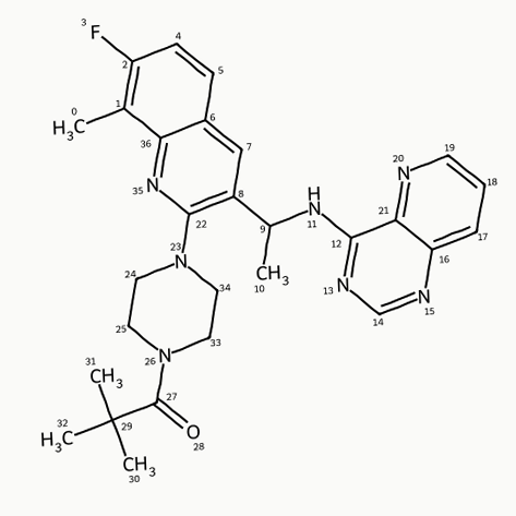 Cc1c(F)ccc2cc(C(C)Nc3ncnc4cccnc34)c(N3CCN(C(=O)C(C)(C)C)CC3)nc12